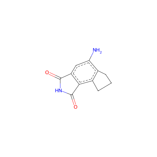 Nc1cc2c(c3c1CCC3)C(=O)NC2=O